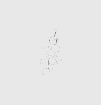 C[C@]12CCC(=O)C=C1CC[C@@H]1[C@@H]2[C@@H](O)C[C@@]2(C)[C@H]1[C@H]1C[C@H]1[C@]2(O)C(=O)CO